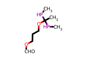 CPC(C)(OCCCOC=O)PC